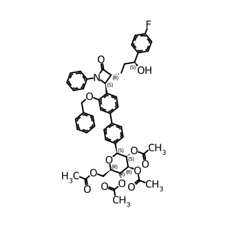 CC(=O)OC[C@H]1O[C@@H](c2ccc(-c3ccc([C@@H]4[C@@H](CC[C@H](O)c5ccc(F)cc5)C(=O)N4c4ccccc4)c(OCc4ccccc4)c3)cc2)[C@H](OC(C)=O)[C@@H](OC(C)=O)[C@@H]1OC(C)=O